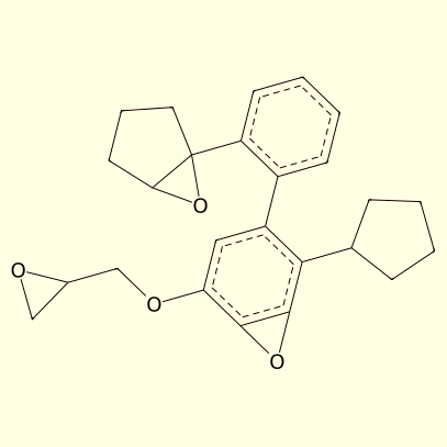 c1ccc(C23CCCC2O3)c(-c2cc(OCC3CO3)c3c(c2C2CCCC2)O3)c1